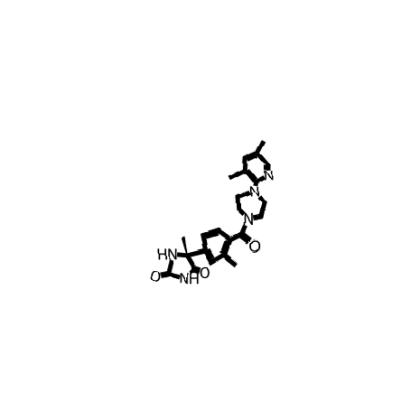 Cc1cnc(N2CCN(C(=O)c3ccc([C@@]4(C)NC(=O)NC4=O)cc3C)CC2)c(C)c1